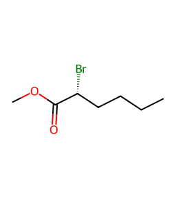 CCCC[C@@H](Br)C(=O)OC